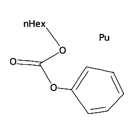 CCCCCCOC(=O)Oc1ccccc1.[Pu]